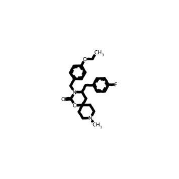 CCOc1ccc(CN2C(=O)OC3(CCN(C)CC3)CC2Cc2ccc(F)cc2)cc1